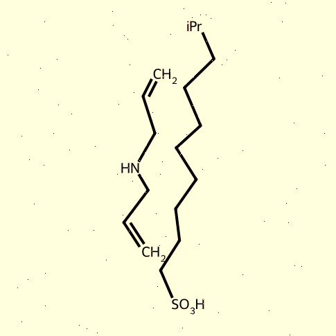 C=CCNCC=C.CC(C)CCCCCCCCS(=O)(=O)O